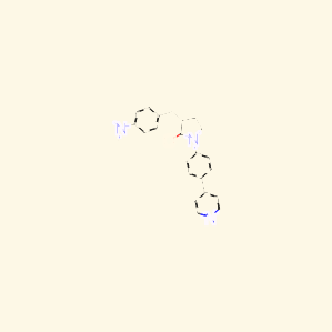 CN(C)c1ccc(CC2CCN(c3ccc(-c4ccncc4)cc3)C2=O)cc1